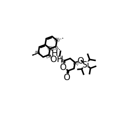 CC(C)[Si](O[C@H]1CC(=O)O[C@H](CC[C@@H]2[C@@H]3C(=C[C@H](C)C[C@@H]3O)C=C[C@@H]2C)C1)(C(C)C)C(C)C